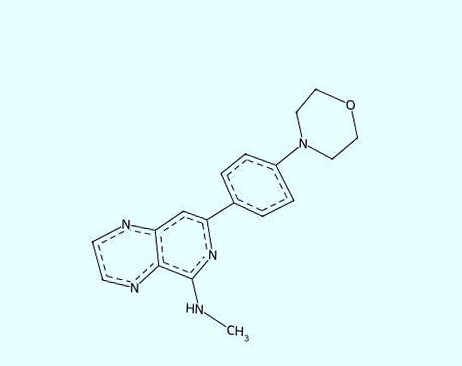 CNc1nc(-c2ccc(N3CCOCC3)cc2)cc2nccnc12